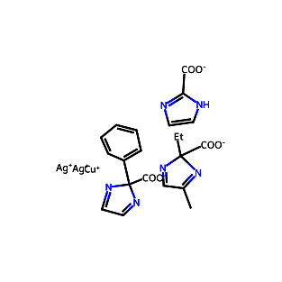 CCC1(C(=O)[O-])N=CC(C)=N1.O=C([O-])C1(c2ccccc2)N=CC=N1.O=C([O-])c1ncc[nH]1.[Ag+].[Ag+].[Cu+]